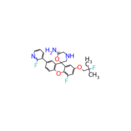 CC(C)(F)COc1cc(F)c2c(c1)C1(CNC[C@@H](N)O1)c1cc(-c3cccnc3F)ccc1O2